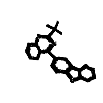 CC(C)(C)c1nc(-c2ccc3oc4ccccc4c3c2)c2ccccc2n1